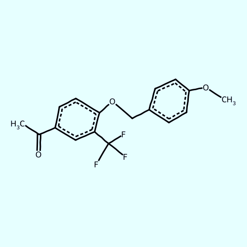 COc1ccc(COc2ccc(C(C)=O)cc2C(F)(F)F)cc1